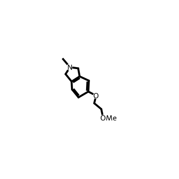 COCCOc1ccc2c(c1)CN(C)C2